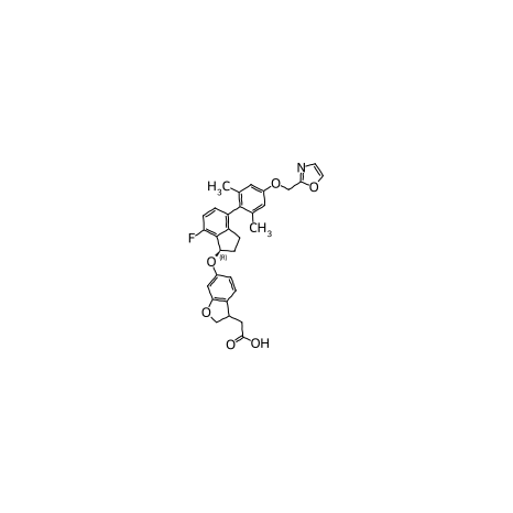 Cc1cc(OCc2ncco2)cc(C)c1-c1ccc(F)c2c1CC[C@H]2Oc1ccc2c(c1)OCC2CC(=O)O